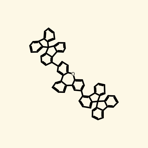 c1ccc2c(c1)-c1cc(-c3cccc4c3-c3ccccc3C43c4ccccc4-c4ccccc43)ccc1Oc1ccc(-c3cccc4c3-c3ccccc3C43c4ccccc4-c4ccccc43)cc1-2